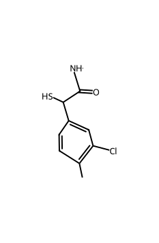 Cc1ccc(C(S)C([NH])=O)cc1Cl